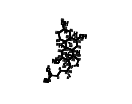 CCC(=O)CC[C@@H](C)[C@H]1CC[C@H]2[C@@H]3C[C@H](O)[C@@H]4C[C@H](O)CC[C@]4(C)[C@H]3C[C@H](O)[C@]12C